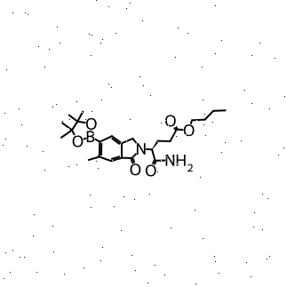 CCCCOC(=O)CC[C@@H](C(N)=O)N1Cc2cc(B3OC(C)(C)C(C)(C)O3)c(C)cc2C1=O